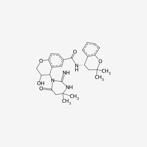 CC1(C)CC(=O)N(C2c3cc(C(=O)N[C@H]4CC(C)(C)Oc5ccccc54)ccc3OCC2O)C(=N)N1